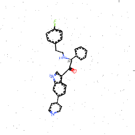 O=C(c1c[nH]c2cc(-c3ccncc3)ccc12)[C@@H](NCCc1ccc(F)cc1)c1ccccc1